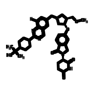 COC[C@@H]1CN(Cc2cc(F)c3nc(C4CCC(C(C)(C)O)CC4)ncc3c2)C[C@H]1Oc1ccc2c(c1)CN([C@H]1CCC(=O)NC1=O)C2=O